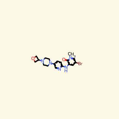 Cn1cc(Br)cc(Nc2ccc(N3CCN(C4COC4)CC3)cn2)c1=O